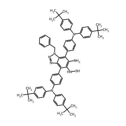 CC(C)(C)c1ccc(N(c2ccc(-c3c(NS)c(N)c(-c4ccc(N(c5ccc(C(C)(C)C)cc5)c5ccc(C(C)(C)C)cc5)cc4)c4c3nnn4Cc3ccccc3)cc2)c2ccc(C(C)(C)C)cc2)cc1